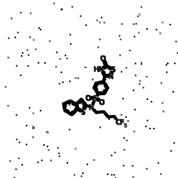 O=c1[nH]c(-c2ccc(S(=O)(=O)N(CCCCC(F)(F)F)c3cc4ccccc4s3)cc2)ns1